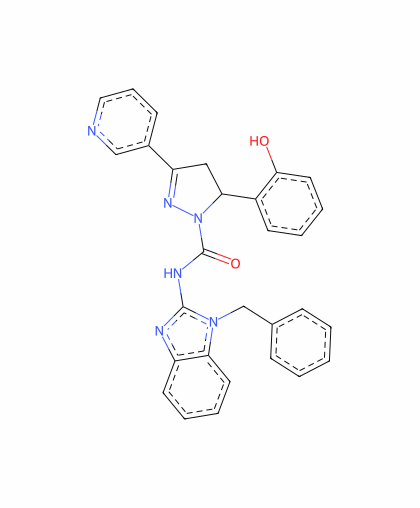 O=C(Nc1nc2ccccc2n1Cc1ccccc1)N1N=C(c2cccnc2)CC1c1ccccc1O